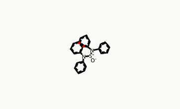 [O-][S+](N(c1ccccc1)c1ccccc1)N(c1ccccc1)c1ccccc1